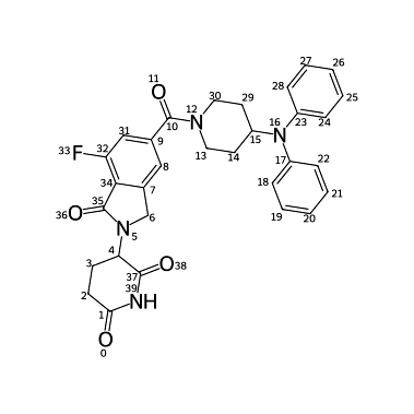 O=C1CCC(N2Cc3cc(C(=O)N4CCC(N(c5ccccc5)c5ccccc5)CC4)cc(F)c3C2=O)C(=O)N1